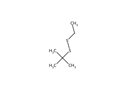 C[CH]SSC(C)(C)C